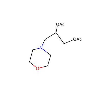 CC(=O)OCC(CN1CCOCC1)OC(C)=O